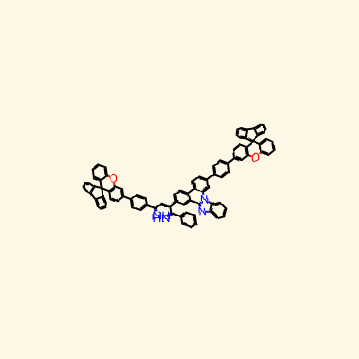 N=C(/C=C(\C(=N)c1ccccc1)c1ccc2c3ccc(-c4ccc(-c5ccc6c(c5)Oc5ccccc5C65c6ccccc6-c6ccccc65)cc4)cc3n3c4ccccc4nc3c2c1)c1ccc(-c2ccc3c(c2)Oc2ccccc2C32C3=C(CCC=C3)c3ccccc32)cc1